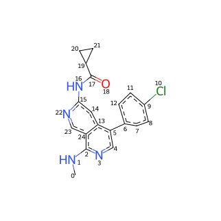 CNc1ncc(-c2ccc(Cl)cc2)c2cc(NC(=O)C3CC3)ncc12